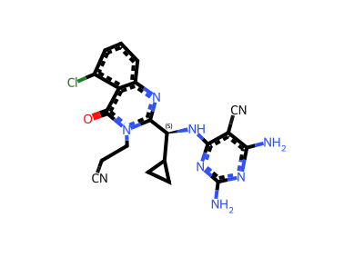 N#CCCn1c([C@@H](Nc2nc(N)nc(N)c2C#N)C2CC2)nc2cccc(Cl)c2c1=O